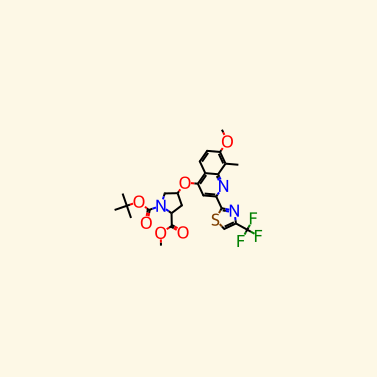 COC(=O)C1CC(Oc2cc(-c3nc(C(F)(F)F)cs3)nc3c(C)c(OC)ccc23)CN1C(=O)OC(C)(C)C